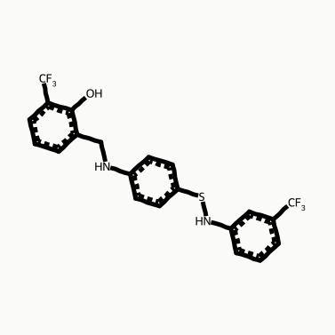 Oc1c(CNc2ccc(SNc3cccc(C(F)(F)F)c3)cc2)cccc1C(F)(F)F